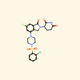 O=C1CCC(N2Cc3c(cc(F)cc3N3CCN(S(=O)(=O)c4ccccc4Cl)CC3)C2=O)C(=O)N1